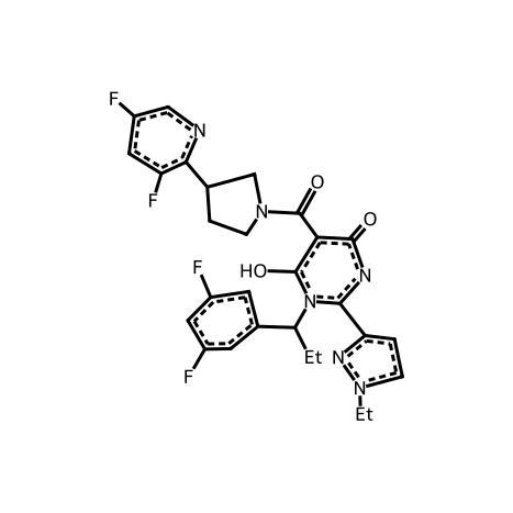 CCC(c1cc(F)cc(F)c1)n1c(-c2ccn(CC)n2)nc(=O)c(C(=O)N2CCC(c3ncc(F)cc3F)C2)c1O